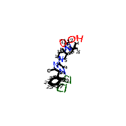 Cc1nc(N2CCC(C)(N(C(=O)O)C(C)(C)C)CC2)cnc1-c1cccc(Cl)c1Cl